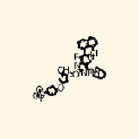 CN1CC(Oc2ccc(S(=O)(=O)F)cc2)C[C@H]1COc1nc(N2CC3CCC(C2)N3)c2cnc(-c3cccc4cccc(Cl)c34)c(F)c2n1